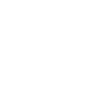 [2H]C([2H])(O)c1cc(Cl)cc2c1OC(C)(C)C2